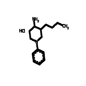 CCCCC1CN(c2ccccc2)CCC1N.Cl